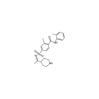 C/C(=N/S(=O)(=O)c1ccc(C(=O)Nc2ccccc2C)c(C)c1)C1CCNCC1